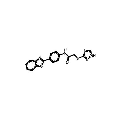 O=C(CSc1nc[nH]n1)Nc1ccc(-c2nc3ccccc3s2)cc1